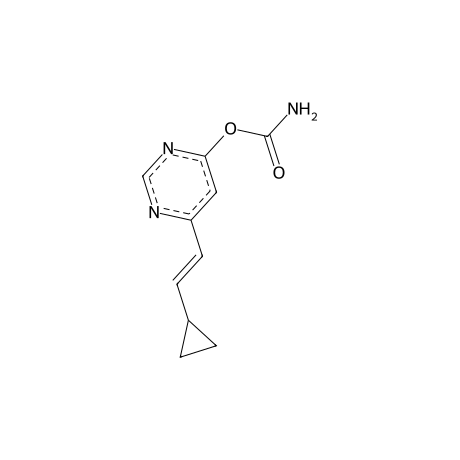 NC(=O)Oc1cc(C=CC2CC2)ncn1